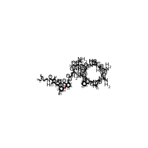 CCN(CC)CCNC(=O)c1c(C)[nH]c(/C=C2\C(=O)N(C(=O)c3c(C)cccc3COC(=O)CC[C@@H](N)C(=O)N[C@H](C(=O)N[C@H](CCN)C(=O)N[C@H]3CCNC(=O)[C@@H]([C@@H](C)O)NC(=O)[C@@H](CCN)NC(=O)[C@@H](CCN)NC(=O)[C@@H](CC(C)C)NC(=O)[C@@H](Cc4ccccc4)NC(=O)[C@@H](CCN)NC3=O)[C@@H](C)O)c3ccc(F)cc32)c1C